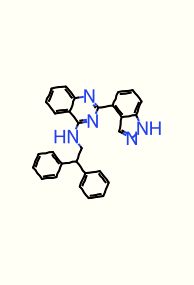 c1ccc(C(CNc2nc(-c3cccc4[nH]ncc34)nc3ccccc23)c2ccccc2)cc1